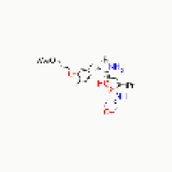 COCCCOc1cc(C[C@@H](C[C@H](N)[C@@H](O)C[C@H](C(=O)NC2CCOCC2)C(C)C)C(C)C)ccc1C